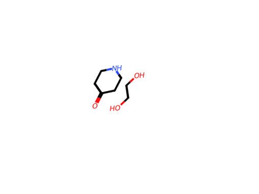 O=C1CCNCC1.OCCO